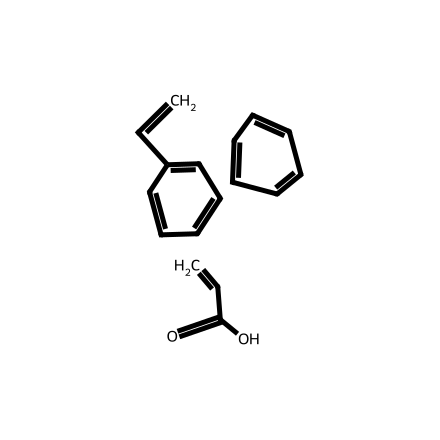 C=CC(=O)O.C=Cc1ccccc1.c1ccccc1